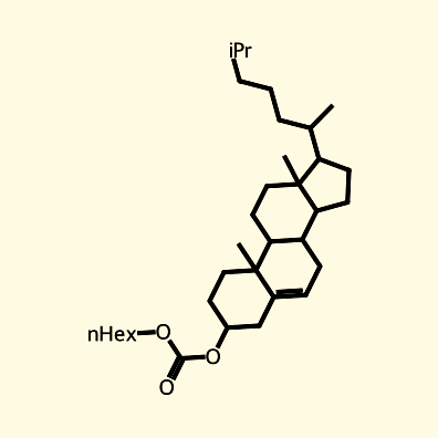 CCCCCCOC(=O)OC1CCC2(C)C(=CCC3C2CCC2(C)C(C(C)CCCC(C)C)CCC32)C1